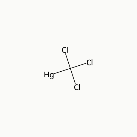 Cl[C](Cl)(Cl)[Hg]